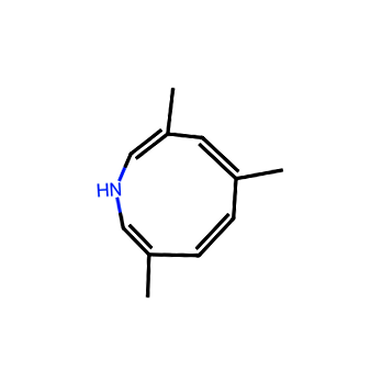 Cc1ccc(C)cc(C)c[nH]c1